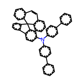 C1=Cc2ccccc2C2(c3ccccc31)c1ccccc1-c1ccc(N(c3ccc(-c4ccccc4)cc3)c3ccc(-c4ccccc4)cc3)cc12